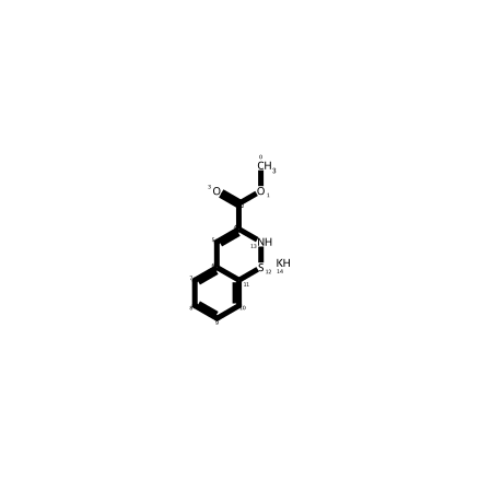 COC(=O)C1=Cc2ccccc2SN1.[KH]